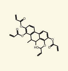 C=CC(=O)Oc1ccc2c(c1OC(=O)C=C)C(C)C(C)c1c-2ccc(OC(=O)C=C)c1OC(O)C=C